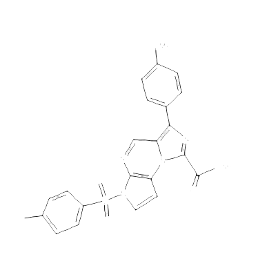 COC(=O)c1nc(-c2ccc(OC)cc2)c2cnc3c(ccn3S(=O)(=O)c3ccc(C)cc3)n12